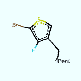 CCCCCCc1csc(Br)c1F